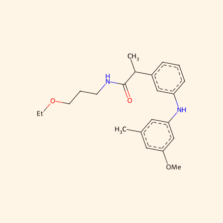 CCOCCCNC(=O)C(C)c1cccc(Nc2cc(C)cc(OC)c2)c1